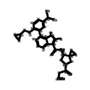 COCC(=O)N1C[C@@H](NC(=O)c2c(C)[nH]c3c(-c4cc(C(F)F)ccc4OCC4CC4)ncnc23)C2(CC2)C1